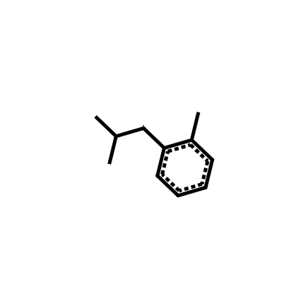 Cc1ccccc1[CH]C(C)C